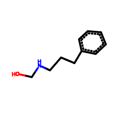 OCNCCCc1ccccc1